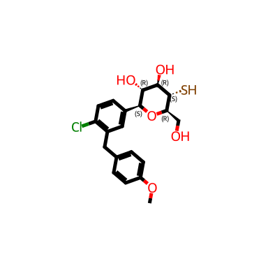 COc1ccc(Cc2cc([C@@H]3O[C@H](CO)[C@@H](S)[C@H](O)[C@H]3O)ccc2Cl)cc1